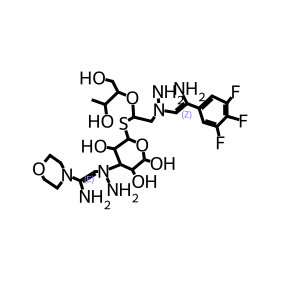 CC(O)C(CO)OC(CN(N)/C=C(\N)c1cc(F)c(F)c(F)c1)SC1OC(O)C(O)C(N(N)/C=C(\N)N2CCOCC2)C1O